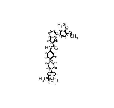 COc1ccc(-c2ccnc3cc(C(=O)Nc4ccc(N5CCN(C(=O)OC(C)(C)C)CC5)cc4)nn23)cc1OC